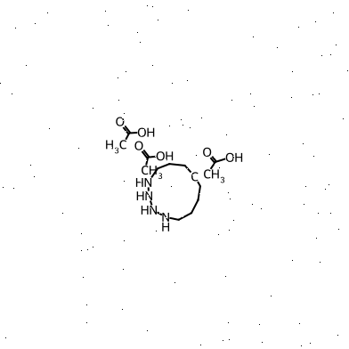 C1CCCCNNNNCCC1.CC(=O)O.CC(=O)O.CC(=O)O